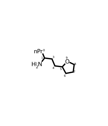 CCCC(N)CCC1CCCO1